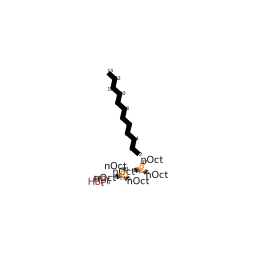 Br.Br.CCCCCCCCCCCC.CCCCCCCCP(CCCCCCCC)CCCCCCCC.CCCCCCCCP(CCCCCCCC)CCCCCCCC